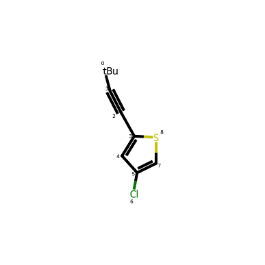 CC(C)(C)C#Cc1cc(Cl)cs1